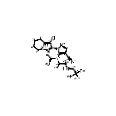 CC(=O)N(c1c(C#N)cnn1-c1nn2c(c1Cl)CCCC2)C(C)C(=O)NCC(F)(F)F